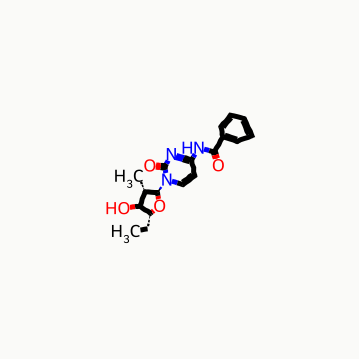 CC[C@H]1O[C@@H](n2ccc(NC(=O)c3ccccc3)nc2=O)[C@@H](C)C1O